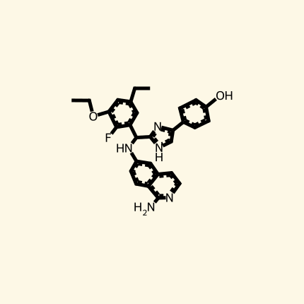 CCOc1cc(CC)cc(C(Nc2ccc3c(N)nccc3c2)c2nc(-c3ccc(O)cc3)c[nH]2)c1F